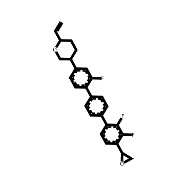 C=CC1CCC(c2ccc(-c3ccc(-c4ccc(C5CO5)c(F)c4F)cc3)c(F)c2)CO1